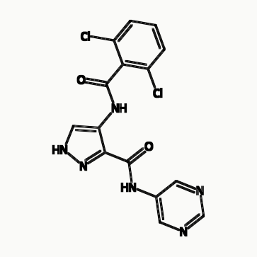 O=C(Nc1cncnc1)c1n[nH]cc1NC(=O)c1c(Cl)cccc1Cl